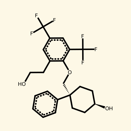 OCCc1cc(C(F)(F)F)cc(C(F)(F)F)c1OC[C@]1(c2ccccc2)CC[C@@H](O)CC1